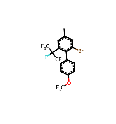 Cc1[c]c(Br)c(-c2ccc(OC(F)(F)F)cc2)c(C(F)(C(F)(F)F)C(F)(F)F)c1